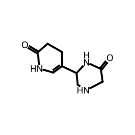 O=C1CCC(C2CNCC(=O)N2)=CN1